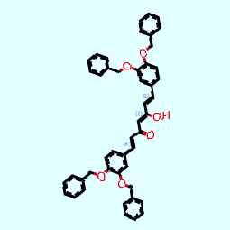 O=C(/C=C(O)/C=C/c1ccc(OCc2ccccc2)c(OCc2ccccc2)c1)/C=C/c1ccc(OCc2ccccc2)c(OCc2ccccc2)c1